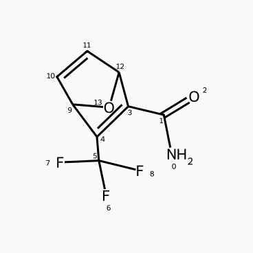 NC(=O)C1=C(C(F)(F)F)C2C=CC1O2